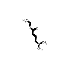 CCOC(=O)C=CCN(C)C